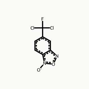 [O-][n+]1onc2cc(C(F)(Cl)Cl)ccc21